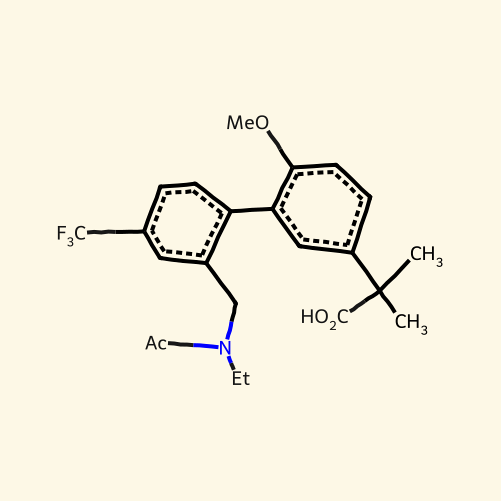 CCN(Cc1cc(C(F)(F)F)ccc1-c1cc(C(C)(C)C(=O)O)ccc1OC)C(C)=O